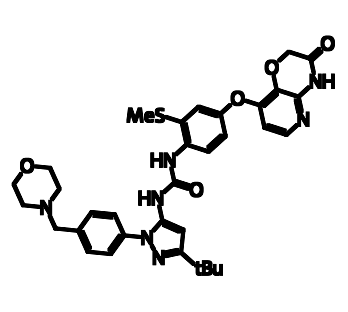 CSc1cc(Oc2ccnc3c2OCC(=O)N3)ccc1NC(=O)Nc1cc(C(C)(C)C)nn1-c1ccc(CN2CCOCC2)cc1